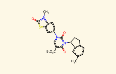 CCOC(=O)c1cn(-c2ccc3c(c2)sc(=O)n3C)c(=O)n(C2CCc3ccc(C)cc32)c1=O